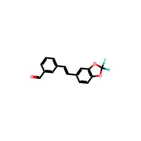 O=Cc1cccc(C=Cc2ccc3c(c2)OC(F)(F)O3)c1